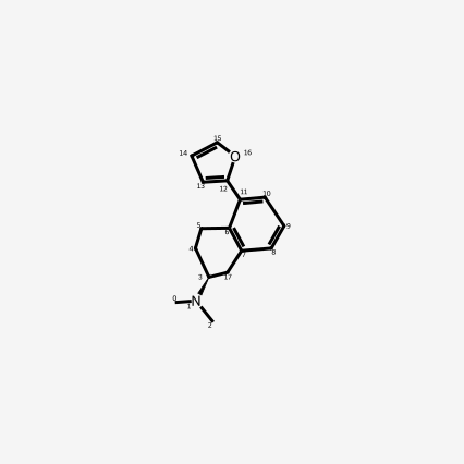 CN(C)[C@H]1CCc2c(cccc2-c2ccco2)C1